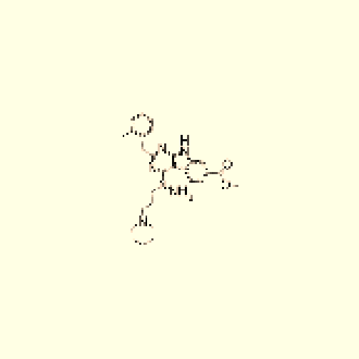 COC(=O)c1ccc2c(c1)[nH]c1nc(Cc3ccccc3C)nc(N(N)CCCN3CCCCC3)c12